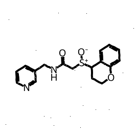 O=C(C[S+]([O-])C1CCOc2ccccc21)NCc1cccnc1